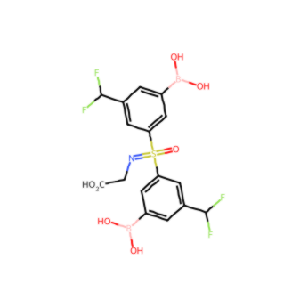 O=C(O)CN=S(=O)(c1cc(B(O)O)cc(C(F)F)c1)c1cc(B(O)O)cc(C(F)F)c1